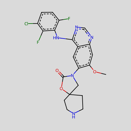 COc1cc2ncnc(Nc3c(F)ccc(Cl)c3F)c2cc1N1CC2(CCNCC2)OC1=O